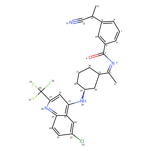 C/C(=N/C(=O)c1cccc(C(C)C#N)c1)C1CCC[C@H](Nc2cc(C(F)(F)F)nc3ccc(Cl)cc23)C1